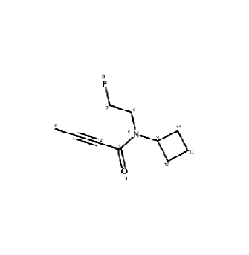 CC#CC(=O)N(CCF)C1CCC1